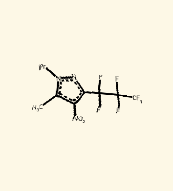 Cc1c([N+](=O)[O-])c(C(F)(F)C(F)(F)C(F)(F)F)nn1C(C)C